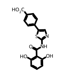 O=C(O)c1ccc(-c2cnc(NC(=O)c3c(O)cccc3O)s2)cc1